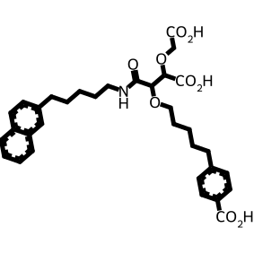 O=C(O)COC(C(=O)O)C(OCCCCCc1ccc(C(=O)O)cc1)C(=O)NCCCCCc1ccc2ccccc2c1